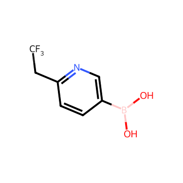 OB(O)c1ccc(CC(F)(F)F)nc1